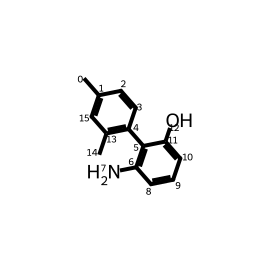 Cc1ccc(-c2c(N)cccc2O)c(C)c1